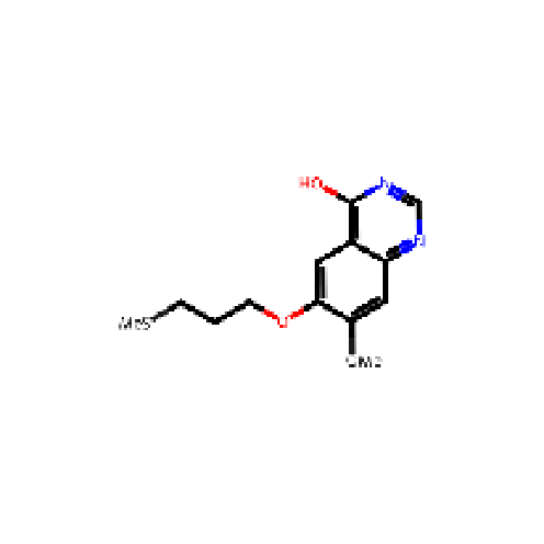 COc1cc2ncnc(O)c2cc1OCCCSC